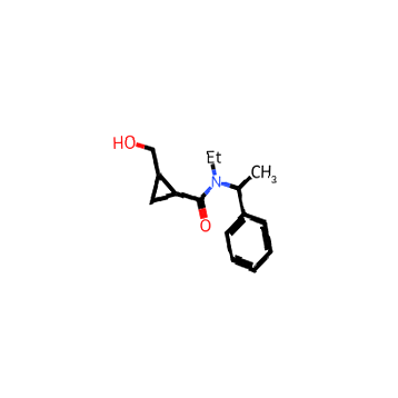 CCN(C(=O)C1CC1CO)C(C)c1ccccc1